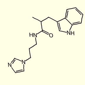 CC(Cc1c[nH]c2ccccc12)C(=O)NCCCn1ccnc1